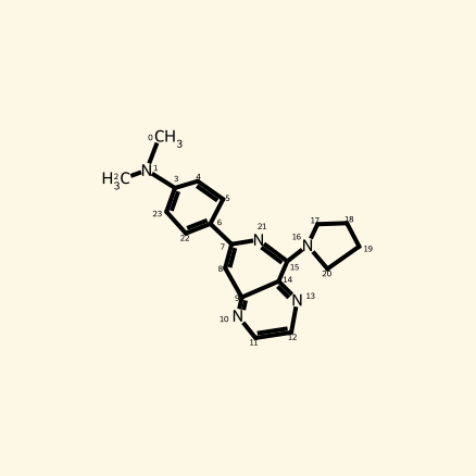 CN(C)c1ccc(-c2cc3nccnc3c(N3CCCC3)n2)cc1